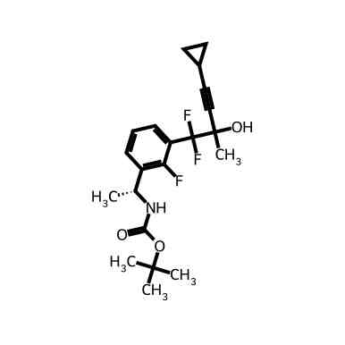 C[C@@H](NC(=O)OC(C)(C)C)c1cccc(C(F)(F)C(C)(O)C#CC2CC2)c1F